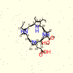 CCC1=C(C)/C2=C/c3[nH]c(c(C)c3CC)/C=C3N=C(/C(C)=c4\[nH]/c(c(C)c4C(=O)O)=C\C1N2)[C@@H](CCC(=O)O)[C@@H]\3C